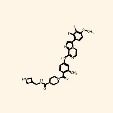 COc1ccc(-c2cnc3c(Nc4ccc(C(=O)N5CCC(C(=O)NCC6CNC6)CC5)c(C)c4)nccn23)c(F)c1F